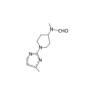 Cc1ccnc(N2CCC(N(C)C=O)CC2)n1